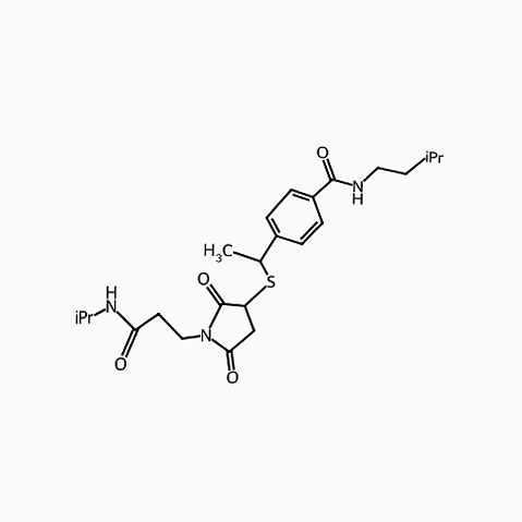 CC(C)CCNC(=O)c1ccc(C(C)SC2CC(=O)N(CCC(=O)NC(C)C)C2=O)cc1